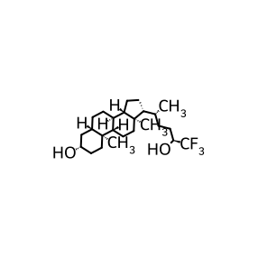 C[C@H](CC[C@H](O)C(F)(F)F)[C@H]1CC[C@H]2[C@@H]3CC[C@H]4C[C@@H](O)CC[C@]4(C)[C@H]3CC[C@]12C